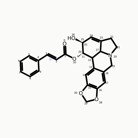 O=C(/C=C/c1ccccc1)O[C@H]1C2c3cc4c(cc3CN3CCC(=C[C@@H]1O)C23)OCO4